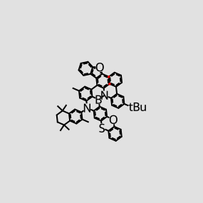 Cc1cc2c3c(c1)N(c1cc4c(cc1C)C(C)(C)CCC4(C)C)c1cc4c(cc1B3N(c1ccc(C(C)(C)C)cc1-c1ccccc1)c1ccc3oc5ccccc5c3c1-2)Oc1ccccc1S4